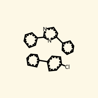 Clc1ccc(-c2ccccc2)cc1.c1ccc(-c2ccnc(-c3ccccc3)n2)cc1